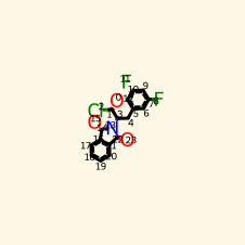 O=C(Cl)C(Cc1cc(F)cc(F)c1)N1C(=O)c2ccccc2C1=O